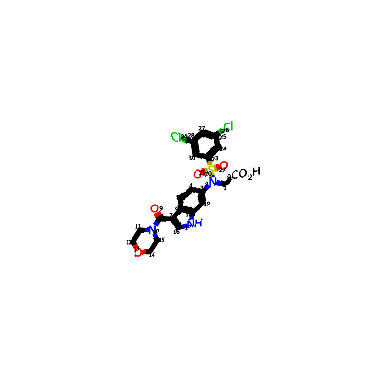 O=C(O)CN(c1ccc2c(C(=O)N3CCOCC3)c[nH]c2c1)S(=O)(=O)c1cc(Cl)cc(Cl)c1